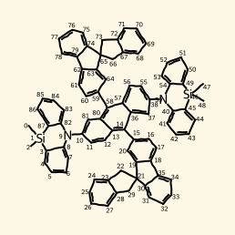 C[Si]1(C)c2ccccc2N(c2ccc3c(-c4ccc5c(c4)C4(Cc6ccccc6C4)c4ccccc4-5)c4cc(N5c6ccccc6[Si](C)(C)c6ccccc65)ccc4c(-c4ccc5c(c4)C4(Cc6ccccc6C4)c4ccccc4-5)c3c2)c2ccccc21